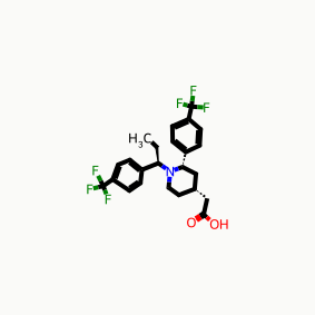 CC[C@H](c1ccc(C(F)(F)F)cc1)N1CC[C@@H](CC(=O)O)C[C@H]1c1ccc(C(F)(F)F)cc1